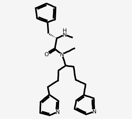 CN[C@@H](Cc1ccccc1)C(=O)N(C)C(CCCc1cccnc1)CCCc1cccnc1